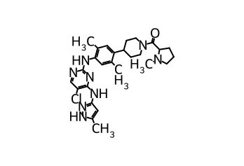 Cc1cc(Nc2nc(Nc3cc(C)c(C4CCN(C(=O)C5CCCN5C)CC4)cc3C)ncc2Cl)n[nH]1